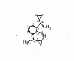 C[C@@H](c1cccc([C@H](C)C2CC2)c1C#N)C1CC1